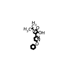 CC(C)N1CC(c2ccc(Oc3ccccc3)nn2)=C(O)C1=O